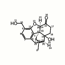 CN1CC[C@]23c4c5ccc(CO)c4O[C@H]2C(=O)CCC3(O)[C@H]1C5